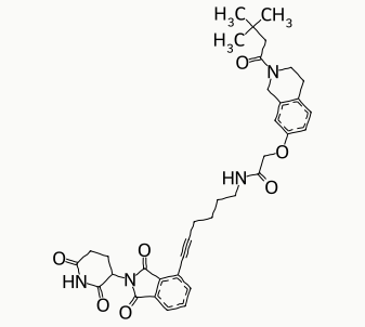 CC(C)(C)CC(=O)N1CCc2ccc(OCC(=O)NCCCCC#Cc3cccc4c3C(=O)N(C3CCC(=O)NC3=O)C4=O)cc2C1